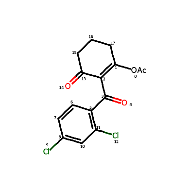 CC(=O)OC1=C(C(=O)c2ccc(Cl)cc2Cl)C(=O)CCC1